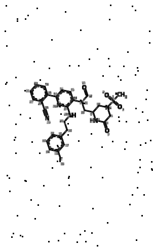 CS(=O)(=O)N1CC(=O)NC(CN(C=O)c2ccc(-c3ccccc3C#N)nc2NCCc2cccc(F)c2)C1